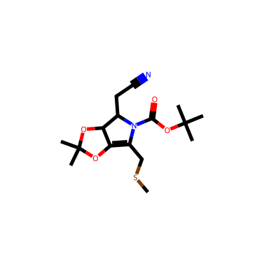 CSCC1=C2OC(C)(C)OC2C(CC#N)N1C(=O)OC(C)(C)C